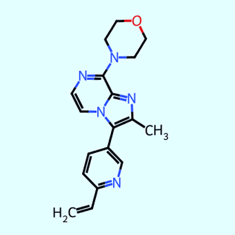 C=Cc1ccc(-c2c(C)nc3c(N4CCOCC4)nccn23)cn1